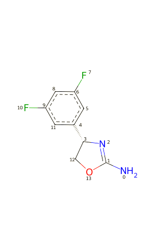 NC1=N[C@@H](c2cc(F)cc(F)c2)CO1